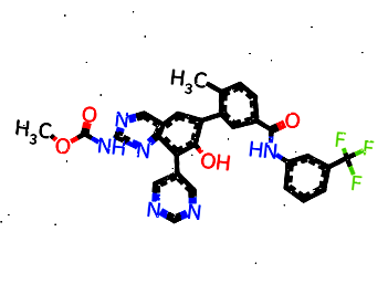 COC(=O)Nc1ncc2cc(-c3cc(C(=O)Nc4cccc(C(F)(F)F)c4)ccc3C)c(O)c(-c3cncnc3)c2n1